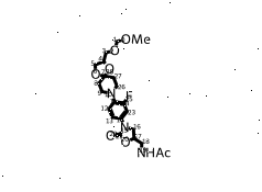 COCOCC1COC2(CCN(c3ccc(N4CC(CNC(C)=O)OC4=O)cc3F)CC2)O1